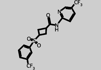 O=C(Nc1ccc(C(F)(F)F)cn1)C1CC(S(=O)(=O)c2cccc(C(F)(F)F)c2)C1